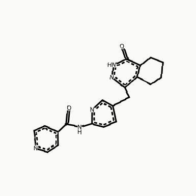 O=C(Nc1ccc(Cc2n[nH]c(=O)c3c2CCCC3)cn1)c1ccncc1